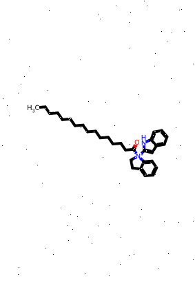 CCCCCCCCCCCCCCCC(=O)[N+]1(c2cc3ccccc3[nH]2)CCc2ccccc21